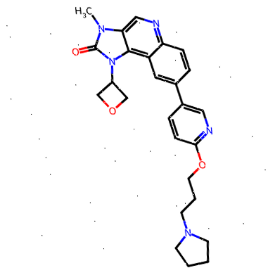 Cn1c(=O)n(C2COC2)c2c3cc(-c4ccc(OCCCN5CCCC5)nc4)ccc3ncc21